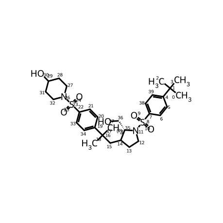 CC(C)(C)c1ccc(S(=O)(=O)N2CCC(CC(C)(C)c3ccc(S(=O)(=O)N4CCC(O)CC4)cc3)[C@@H]2CO)cc1